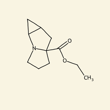 CCOC(=O)C12CCCN1C1CC1C2